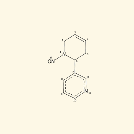 O=NN1CC=CCC1c1cccnc1